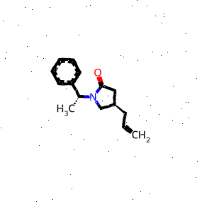 C=CC[C@@H]1CC(=O)N([C@H](C)c2ccccc2)C1